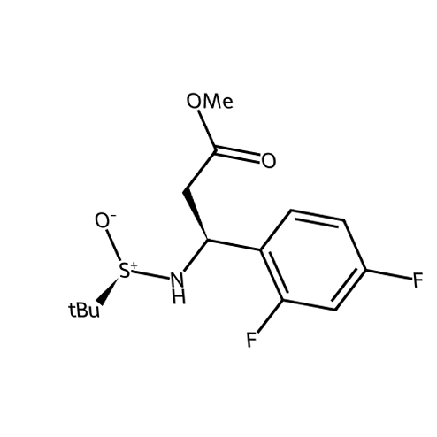 COC(=O)C[C@H](N[S@+]([O-])C(C)(C)C)c1ccc(F)cc1F